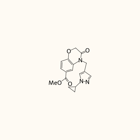 COC(=O)c1ccc2c(c1)N(Cc1cnn(C3CC3)c1)C(=O)CO2